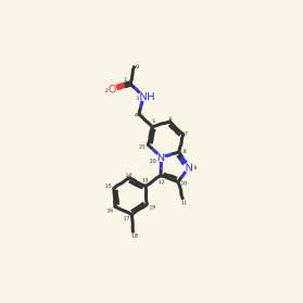 CC(=O)NCc1ccc2nc(C)c(-c3cccc(C)c3)n2c1